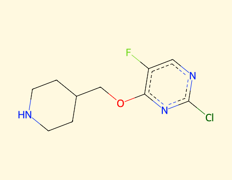 Fc1cnc(Cl)nc1OCC1CCNCC1